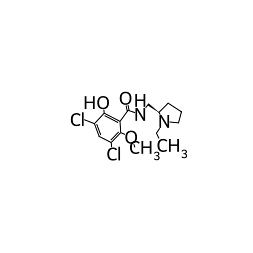 CCN1CCC[C@@H]1CNC(=O)c1c(O)c(Cl)cc(Cl)c1OC